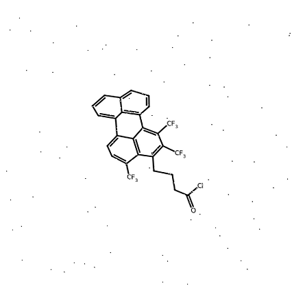 O=C(Cl)CCCc1c(C(F)(F)F)c(C(F)(F)F)c2c3cccc4cccc(c5ccc(C(F)(F)F)c1c52)c43